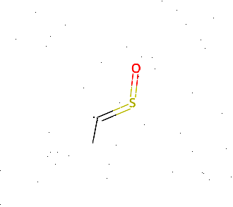 C[C]=S=O